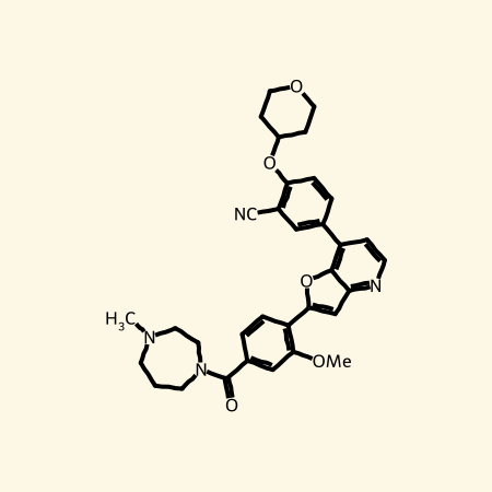 COc1cc(C(=O)N2CCCN(C)CC2)ccc1-c1cc2nccc(-c3ccc(OC4CCOCC4)c(C#N)c3)c2o1